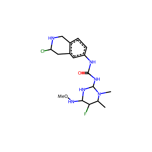 CONC1NC(NC(=O)Nc2ccc3c(c2)CC(Cl)NC3)N(C)C(C)C1F